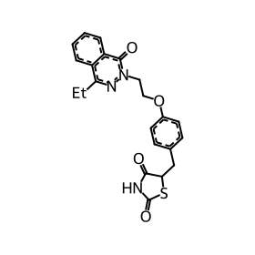 CCc1nn(CCOc2ccc(CC3SC(=O)NC3=O)cc2)c(=O)c2ccccc12